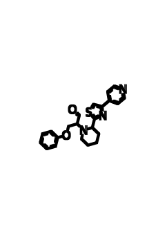 O=CC(COc1ccccc1)N1CCCCC1c1nc(-c2ccncc2)cs1